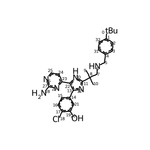 CC(C)(C)c1ccc(CNCC(C)(C)c2nc(-c3ccc(Cl)c(O)c3)c(-c3ccnc(N)n3)[nH]2)cc1